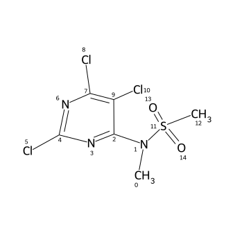 CN(c1nc(Cl)nc(Cl)c1Cl)S(C)(=O)=O